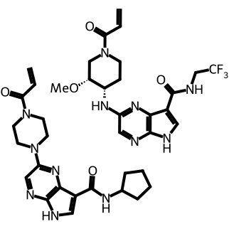 C=CC(=O)N1CCN(c2cnc3[nH]cc(C(=O)NC4CCCC4)c3n2)CC1.C=CC(=O)N1CC[C@H](Nc2cnc3[nH]cc(C(=O)NCC(F)(F)F)c3n2)[C@H](OC)C1